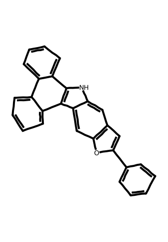 c1ccc(-c2cc3cc4[nH]c5c6ccccc6c6ccccc6c5c4cc3o2)cc1